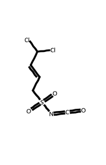 O=C=NS(=O)(=O)CC=CC(Cl)Cl